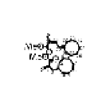 C=C(CC1CCCCCCC1)C(=O)OC.COC(=O)C(C)=CCC1CCCCCCC1